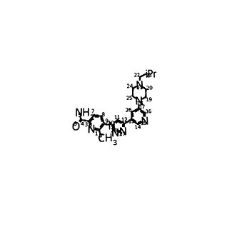 Cc1nc(C(N)=O)[c]cc1-n1cc(-c2cncc(N3CCN(CC(C)C)CC3)c2)nn1